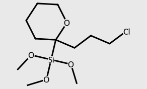 CO[Si](OC)(OC)C1(CCCCl)CCCCO1